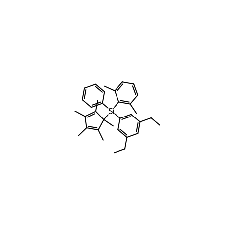 CCc1cc(CC)cc([Si](c2ccccc2)(c2c(C)cccc2C)C2(C)C(C)=C(C)C(C)=C2C)c1